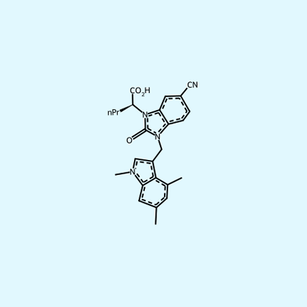 CCC[C@@H](C(=O)O)n1c(=O)n(Cc2cn(C)c3cc(C)cc(C)c23)c2ccc(C#N)cc21